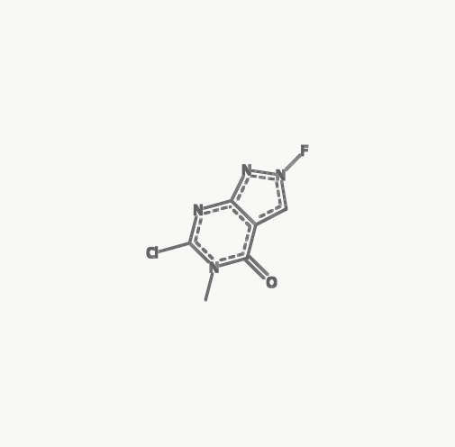 Cn1c(Cl)nc2nn(F)cc2c1=O